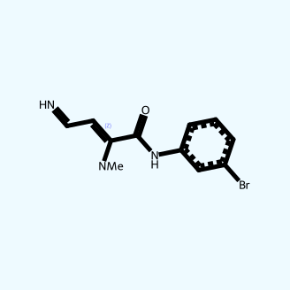 CN/C(=C\C=N)C(=O)Nc1cccc(Br)c1